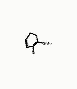 CSC1=C(F)C=CCC1